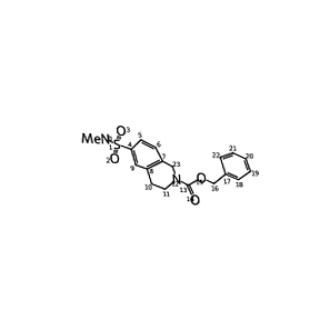 CNS(=O)(=O)c1ccc2c(c1)CCN(C(=O)OCc1ccccc1)C2